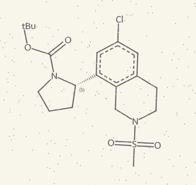 CC(C)(C)OC(=O)N1CCC[C@H]1c1cc(Cl)cc2c1CN(S(C)(=O)=O)CC2